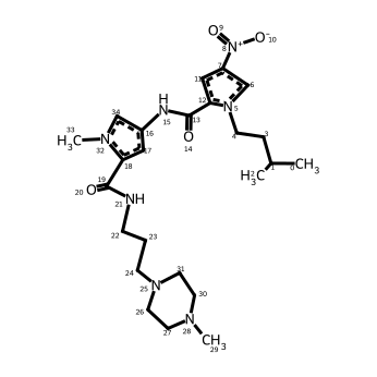 CC(C)CCn1cc([N+](=O)[O-])cc1C(=O)Nc1cc(C(=O)NCCCN2CCN(C)CC2)n(C)c1